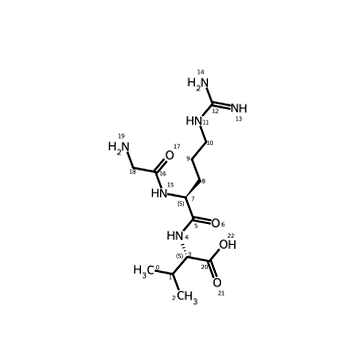 CC(C)[C@H](NC(=O)[C@H](CCCNC(=N)N)NC(=O)CN)C(=O)O